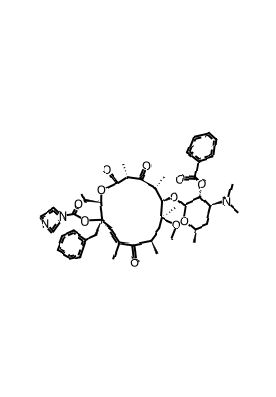 CC[C@H]1OC(=O)[C@H](C)C(=O)[C@H](C)[C@@H](OC2O[C@H](C)C[C@H](N(C)C)[C@H]2OC(=O)c2ccccc2)[C@@](C)(OC)C[C@@H](C)C(=O)/C(C)=C/[C@]1(Cc1ccccc1)OC(=O)n1ccnc1